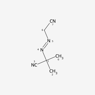 CC(C)(C#N)N=NCC#N